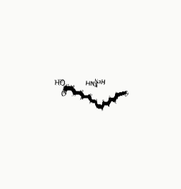 CCCCCC/C=C\CCCCCCCC(=O)O.[NaH].[NaH]